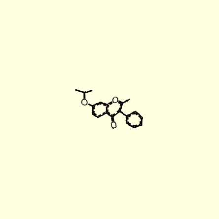 Cc1oc2cc(OC(C)C)ccc2c(=O)c1-c1ccccc1